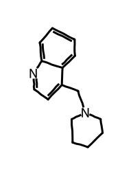 c1ccc2c(CN3CCCCC3)ccnc2c1